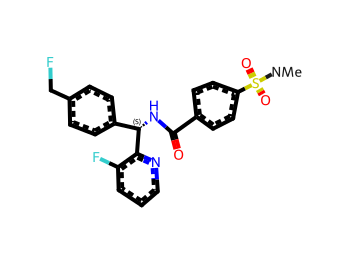 CNS(=O)(=O)c1ccc(C(=O)N[C@@H](c2ccc(CF)cc2)c2ncccc2F)cc1